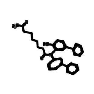 NC(=O)CCCCCCC(=O)N(c1cccc(-c2ccccc2)c1)c1cc(-c2ccccc2)ccc1O